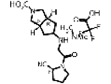 CNC.N#C[C@@H]1CCCN1C(=O)CNC1C[C@@H]2CN(C(=O)O)C[C@@H]2C1.O=C(O)C(F)(F)F